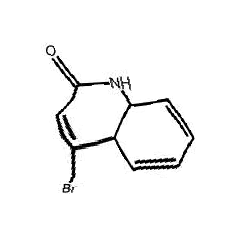 O=C1C=C(Br)C2C=CC=CC2N1